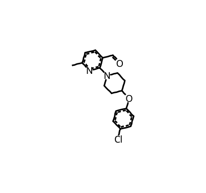 Cc1ccc(C=O)c(N2CCC(Oc3ccc(Cl)cc3)CC2)n1